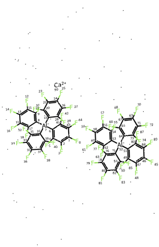 Fc1c(F)c(F)[c]([Al-]([c]2c(F)c(F)c(F)c(F)c2F)([c]2c(F)c(F)c(F)c(F)c2F)[c]2c(F)c(F)c(F)c(F)c2F)c(F)c1F.Fc1c(F)c(F)[c]([Al-]([c]2c(F)c(F)c(F)c(F)c2F)([c]2c(F)c(F)c(F)c(F)c2F)[c]2c(F)c(F)c(F)c(F)c2F)c(F)c1F.[Ca+2]